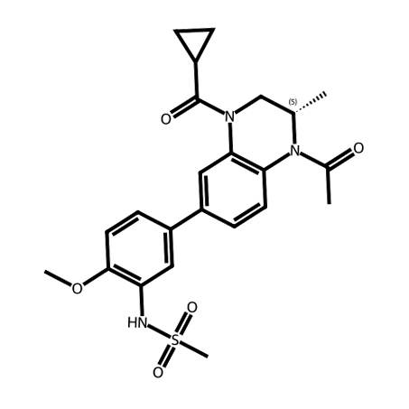 COc1ccc(-c2ccc3c(c2)N(C(=O)C2CC2)C[C@H](C)N3C(C)=O)cc1NS(C)(=O)=O